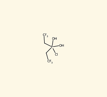 OP(O)(Cl)(CC(F)(F)F)CC(F)(F)F